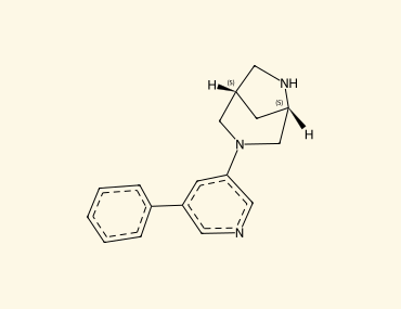 c1ccc(-c2cncc(N3C[C@@H]4CN[C@@H](C4)C3)c2)cc1